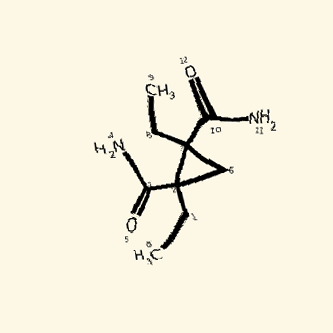 CCC1(C(N)=O)CC1(CC)C(N)=O